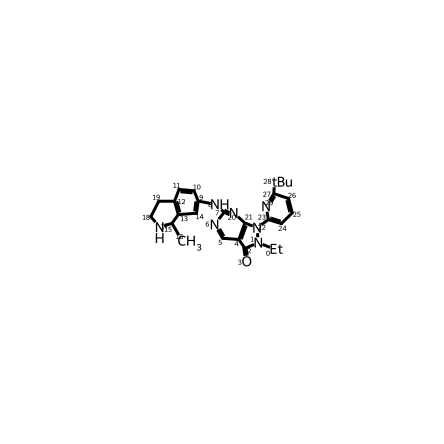 CCn1c(=O)c2cnc(Nc3ccc4c(c3)C(C)NCC4)nc2n1-c1cccc(C(C)(C)C)n1